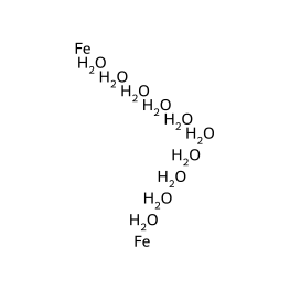 O.O.O.O.O.O.O.O.O.O.[Fe].[Fe]